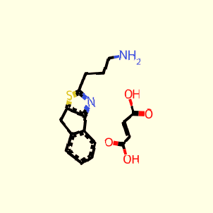 NCCCc1nc2c(s1)Cc1ccccc1-2.O=C(O)C=CC(=O)O